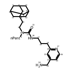 CCCCCN(CCC12CC3CC(CC(C3)C1)C2)C(=O)NCCCc1cc(CN)ccn1